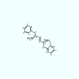 N[C@H](/C=C/[C@@H](N)Cc1ccccc1)Cc1ccccc1